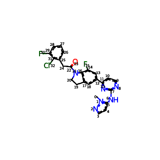 Cn1nccc1Nc1nccc(-c2cc(F)c3c(c2)CCN3C(=O)Cc2cccc(F)c2Cl)n1